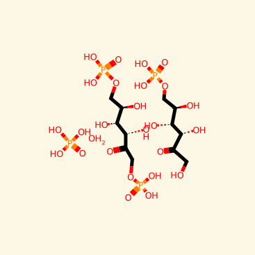 O.O=C(CO)[C@@H](O)[C@H](O)[C@H](O)COP(=O)(O)O.O=C(COP(=O)(O)O)[C@@H](O)[C@H](O)[C@H](O)COP(=O)(O)O.O=P(O)(O)O